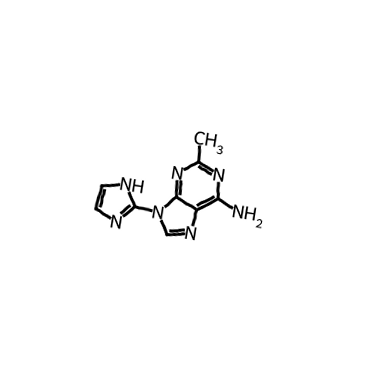 Cc1nc(N)c2ncn(-c3ncc[nH]3)c2n1